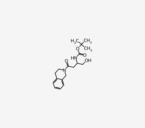 CC(C)(C)OC(=O)NC(CO)CC(=O)N1CCc2ccccc2C1